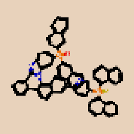 O=P(c1ccc2ccccc2c1)(c1ccc2ccccc2c1)c1ccc2nc3c4ccccc4c4ccc5cc(-c6ccc(P(=S)(c7cccc8ccccc78)c7cccc8ccccc78)cn6)ccc5c4n3c2c1